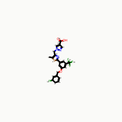 Cc1sc(-c2cc(OCC3=CC(F)CC=C3)cc(C(F)(F)F)c2)nc1Cn1cc(C(=O)O)cn1